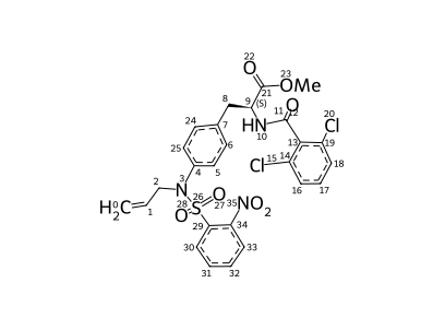 C=CCN(c1ccc(C[C@H](NC(=O)c2c(Cl)cccc2Cl)C(=O)OC)cc1)S(=O)(=O)c1ccccc1[N+](=O)[O-]